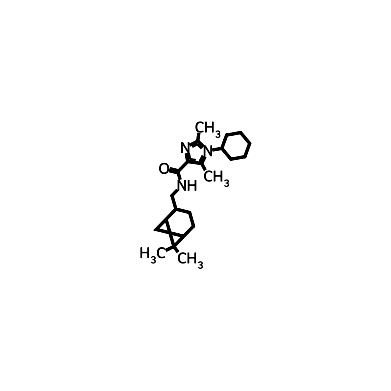 Cc1nc(C(=O)NCC2CCC3C(C)(C)C34CC24)c(C)n1C1CCCCC1